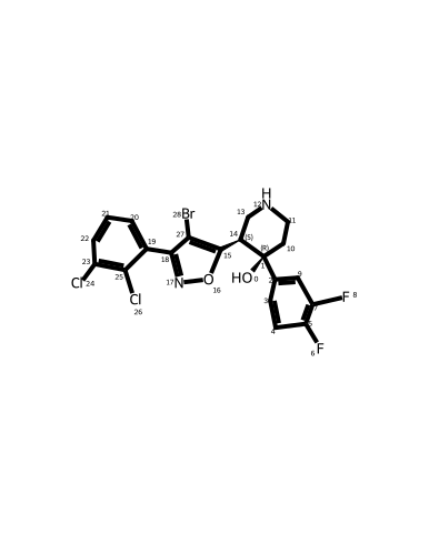 O[C@]1(c2ccc(F)c(F)c2)CCNC[C@@H]1c1onc(-c2cccc(Cl)c2Cl)c1Br